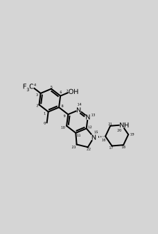 Cc1cc(C(F)(F)F)cc(O)c1-c1cc2c(nn1)N([C@H]1CCCNC1)CC2